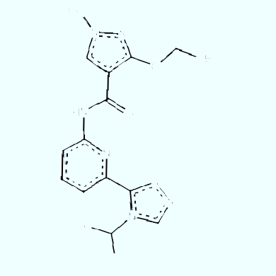 CCOc1nn(C)cc1C(=O)Nc1cccc(-c2nncn2C(C)C)n1